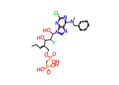 CC/C=C(/COP(=O)(O)CP(=O)(O)O)[C@@H](O)[C@H](F)[C@@H](O)n1cnc2c(N(C)Cc3ccccc3)nc(Cl)nc21